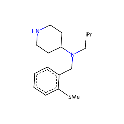 CSc1ccccc1CN(CC(C)C)C1CCNCC1